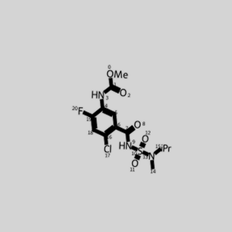 COC(=O)Nc1cc(C(=O)NS(=O)(=O)N(C)C(C)C)c(Cl)cc1F